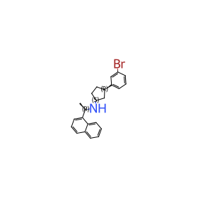 C[C@@H](N[C@H]1CC[C@@H](c2cccc(Br)c2)C1)c1cccc2ccccc12